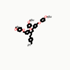 CC(C)Cc1ccc(CCC(CC(Oc2ccc(OC(C)(C)C)cc2)c2ccc(COc3ccc(OC(C)(C)C)cc3)cc2)c2ccc(COc3ccc(OC(C)(C)C)cc3)cc2)cc1